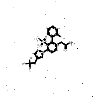 NC(=O)Cc1ccc(-n2cc(CC(F)(F)F)cn2)c(S(N)(=O)=O)c1-c1ccccc1F